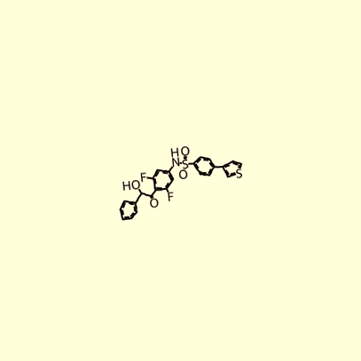 O=C(c1c(F)cc(NS(=O)(=O)c2ccc(-c3ccsc3)cc2)cc1F)C(O)c1ccccc1